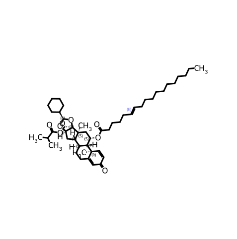 CCCCCCCCCCC/C=C/CCCCC(=O)O[C@H]1C[C@@]2(C)[C@@H](C[C@H]3O[C@@H](C4CCCCC4)O[C@]32C(=O)OC(=O)C(C)C)[C@@H]2CCC3=CC(=O)C=C[C@]3(C)[C@H]21